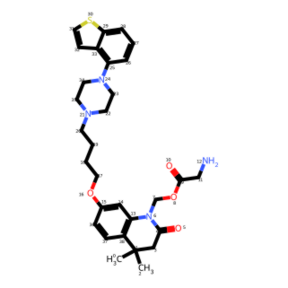 CC1(C)CC(=O)N(COC(=O)CN)c2cc(OCCCCN3CCN(c4cccc5sccc45)CC3)ccc21